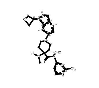 CCN(C)C1(C(=O)N(C=O)c2ccnc(C(F)(F)F)n2)CCN(c2cnc3cnn(C4COC4)c3n2)CC1